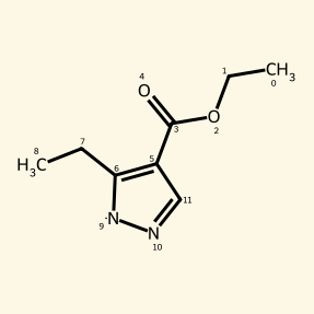 CCOC(=O)C1=C(CC)[N]N=C1